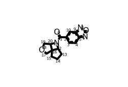 O=C(c1ccc2nonc2c1)N1C2CCCC23COCC13